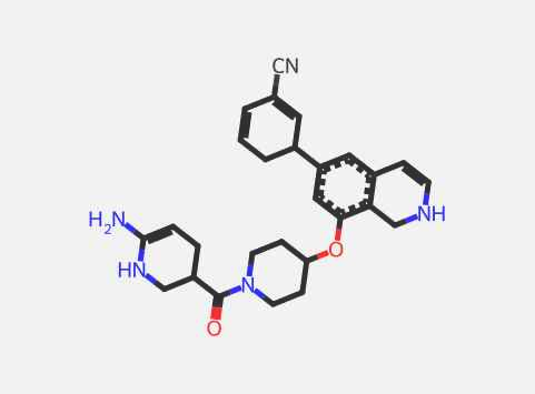 N#CC1=CC(c2cc3c(c(OC4CCN(C(=O)C5CC=C(N)NC5)CC4)c2)CNC=C3)CC=C1